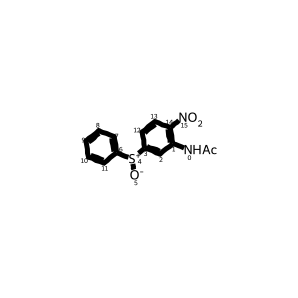 CC(=O)Nc1cc([S+]([O-])c2ccccc2)ccc1[N+](=O)[O-]